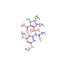 COc1cc(OC)nc(N(C(N)=O)S(=O)(=O)C2=C(C(=O)O)C(Cl)N(C)N2C)n1